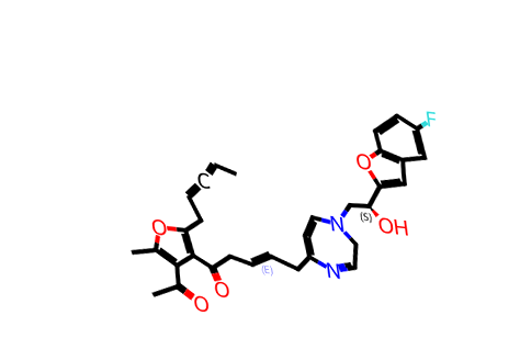 CC=C=CCc1oc(C)c(C(C)=O)c1C(=O)C/C=C/CC1=C=CN(C[C@H](O)c2cc3cc(F)ccc3o2)CC=N1